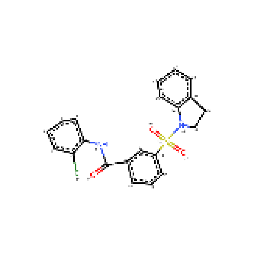 O=C(Nc1ccccc1Cl)c1cccc(S(=O)(=O)N2CCc3ccccc32)c1